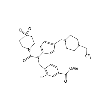 COC(=O)c1ccc(CN(C(=O)N2CCS(=O)(=O)CC2)c2ccc(CN3CCN(CC(F)(F)F)CC3)cc2)c(F)c1